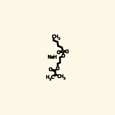 C=C(C)C(=O)OCCCOS(=O)(=O)CCCCC.[NaH]